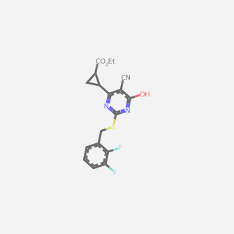 CCOC(=O)C1CC1c1nc(SCc2cccc(F)c2F)nc(O)c1C#N